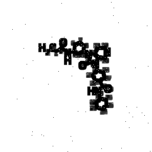 C=CC(=O)Nc1cccc(-n2c(=O)n(-c3ccc(C(=O)Nc4ccccc4)cc3)c3cnccc32)c1